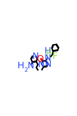 CCC(c1cnccc1N)n1c(C)cnc(NCC(F)(F)c2ccccc2)c1=O